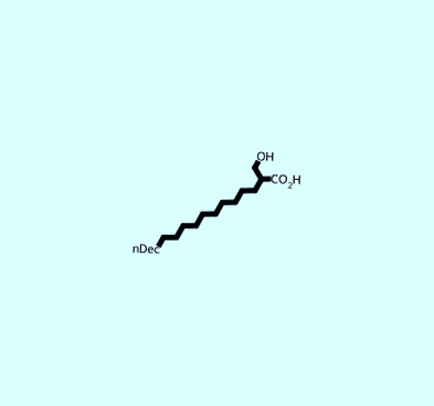 CCCCCCCCCCCCCCCCCCCCC(CO)C(=O)O